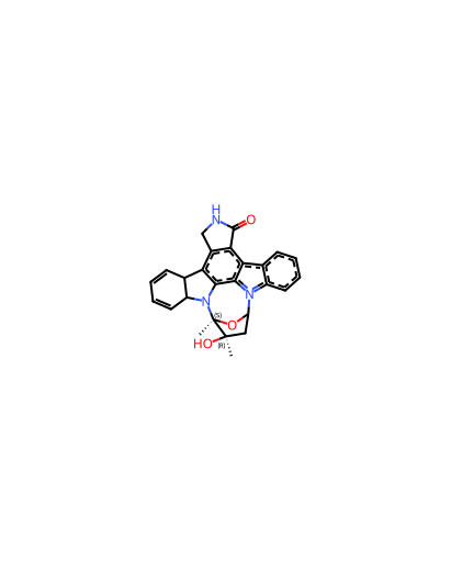 C[C@@]1(O)CC2O[C@]1(C)N1c3c(c4c(c5c6ccccc6n2c35)C(=O)NC4)C2C=CC=CC21